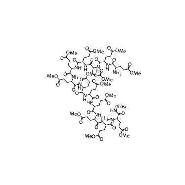 CCCCCCNC(=O)C(CCC(=O)OC)NC(=O)C(CCC(=O)OC)NC(=O)C(CCC(=O)OC)NC(=O)C(CCC(=O)OC)NC(=O)C(CCC(=O)OC)NC(=O)C(CCC(=O)OC)NC(=O)C(CCC(=O)OC)NC(=O)C(CCC(=O)OC)NC(=O)C(CCC(=O)OC)NC(=O)C(CCC(=O)OC)NC(=O)C(CCC(=O)OC)NC(=O)C(N)CCC(=O)OC